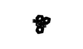 ClP(Cl)(c1ccccc1)(c1ccccc1)c1ccccc1.[Ru]